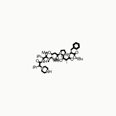 CC[C@H](C)[C@@H](C(CC(=O)N1CCC[C@H]1[C@H](OC)[C@@H](C)C(=O)N[C@@H](Cc1ccccc1)C(=O)OC(C)(C)C)OC)N(C)C(=O)[C@@H](NC(=O)[C@H](C(C)C)N1CCNCC1)C(C)C